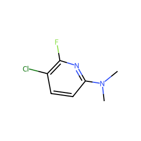 CN(C)c1ccc(Cl)c(F)n1